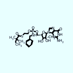 CCC(C)(C)C(=O)SCCOP(=O)(NCc1ccccc1)OC[C@H]1O[C@@H](n2cnc3c(=O)[nH]c(N)nc32)[C@@](C)(O)C1O